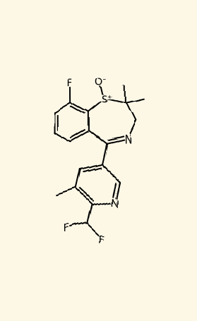 Cc1cc(C2=NCC(C)(C)[S+]([O-])c3c(F)cccc32)cnc1C(F)F